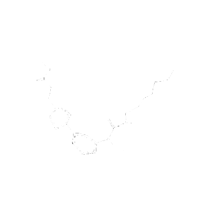 CCCCCCCNC(=O)N(C)c1cccc(-c2ccc(CCC(=O)NO)cc2)c1